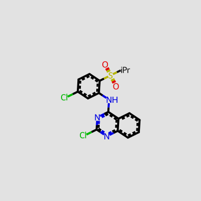 CC(C)S(=O)(=O)c1ccc(Cl)cc1Nc1nc(Cl)nc2ccccc12